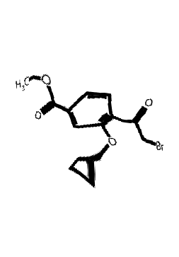 COC(=O)c1ccc(C(=O)CBr)c(OC2CC2)c1